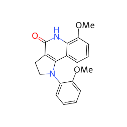 COc1ccccc1N1CCc2c1c1cccc(OC)c1[nH]c2=O